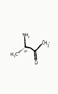 [CH2]C(=O)[C@H](C)N